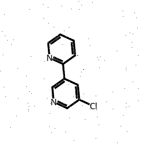 Clc1cncc(-c2[c]cccn2)c1